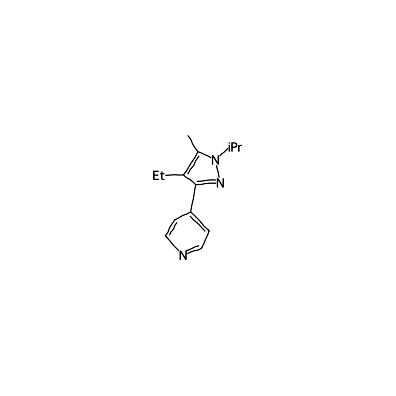 CCc1c(-c2ccncc2)nn(C(C)C)c1C